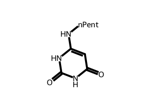 CCCCCNc1cc(=O)[nH]c(=O)[nH]1